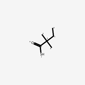 CCC(C)(C)C(=O)S